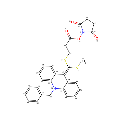 CSC(SCCC(=O)ON1C(=O)CCC1=O)=C1c2ccccc2N(Cc2ccccc2)c2ccccc21